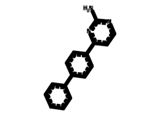 Nc1nccc(-c2ccc(-c3ccccc3)cc2)n1